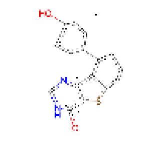 O=c1[nH]cnc2c1sc1cccc(-c3ccc(O)cc3)c12